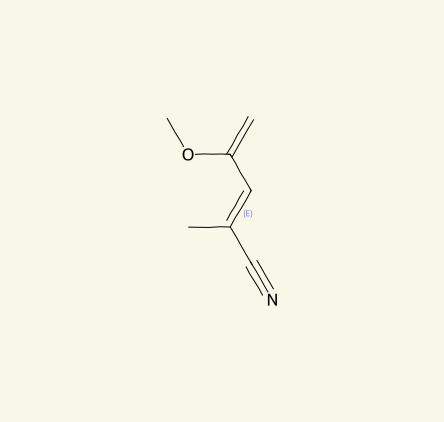 C=C(/C=C(\C)C#N)OC